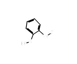 [CH2]CSc1ccccc1OCC